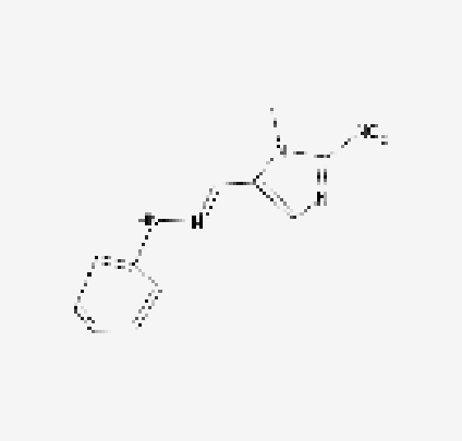 Cn1c(C=NNc2ccccc2)cnc1[N+](=O)[O-]